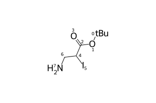 CC(C)(C)OC(=O)C(I)CN